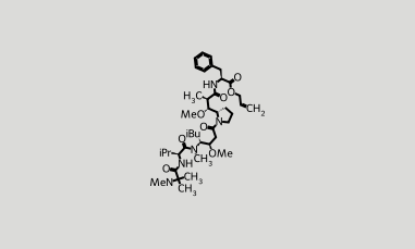 C=CCOC(=O)[C@H](Cc1ccccc1)NC(=O)[C@H](C)[C@@H](OC)[C@@H]1CCCN1C(=O)C[C@@H](OC)[C@H]([C@@H](C)CC)N(C)C(=O)[C@@H](NC(=O)C(C)(C)NC)C(C)C